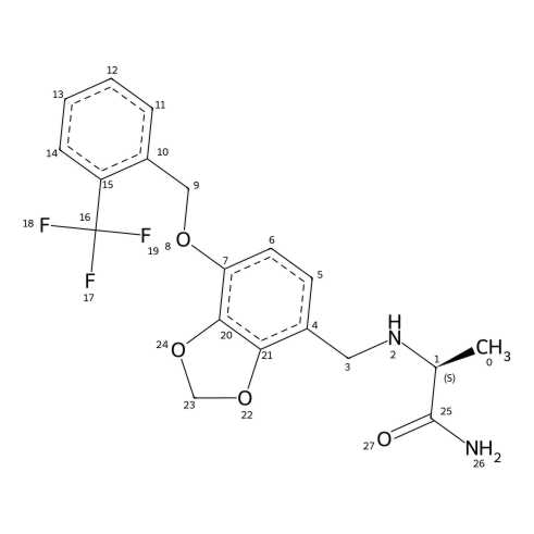 C[C@H](NCc1ccc(OCc2ccccc2C(F)(F)F)c2c1OCO2)C(N)=O